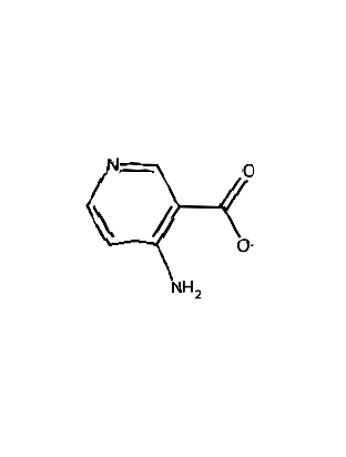 Nc1ccncc1C([O])=O